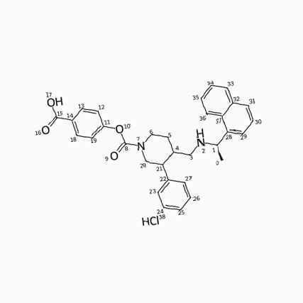 C[C@@H](NCC1CCN(C(=O)Oc2ccc(C(=O)O)cc2)CC1c1ccccc1)c1cccc2ccccc12.Cl